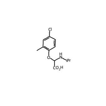 Cc1cc(Cl)ccc1OC(NC(C)C)C(=O)O